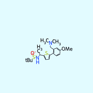 COc1ccc(-c2ccc(C(C)N[S+]([O-])C(C)(C)C)s2)c(CN(C)C)c1